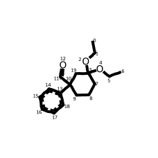 CCOC1(OCC)CCCC([C]=O)(c2ccccc2)C1